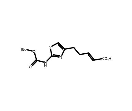 CC(C)(C)OC(=O)Nc1nc(CCC=CC(=O)O)cs1